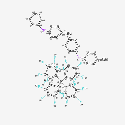 CC(C)(C)c1ccc([I+]c2ccc(C(C)(C)C)cc2)cc1.Fc1c(F)c(F)c([B-](c2c(F)c(F)c(F)c(F)c2F)(c2c(F)c(F)c(F)c(F)c2F)c2c(F)c(F)c(F)c(F)c2F)c(F)c1F.c1ccc([I+]c2ccccc2)cc1